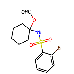 O=COC1(NS(=O)(=O)c2ccccc2Br)CCCCC1